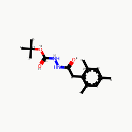 Cc1cc(C)c(CC(=O)NNC(=O)OC(C)(C)C)c(C)c1